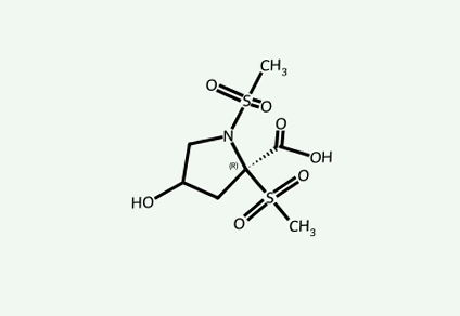 CS(=O)(=O)N1CC(O)C[C@]1(C(=O)O)S(C)(=O)=O